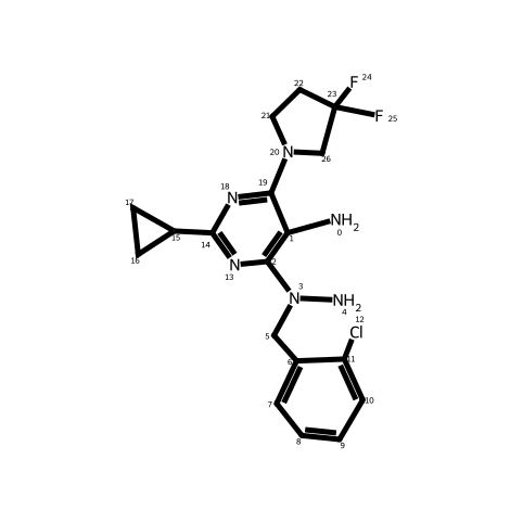 Nc1c(N(N)Cc2ccccc2Cl)nc(C2CC2)nc1N1CCC(F)(F)C1